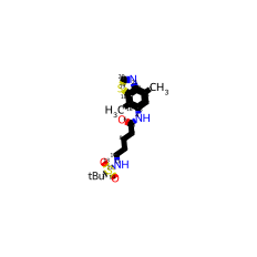 Cc1cc(NC(=O)CCCCNS(=O)(=O)C(C)(C)C)c(C)c2scnc12